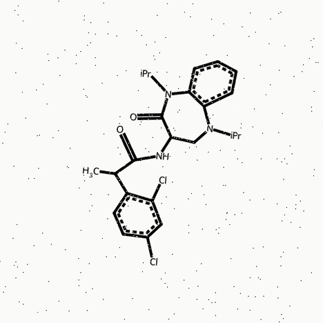 CC(C(=O)NC1CN(C(C)C)c2ccccc2N(C(C)C)C1=O)c1ccc(Cl)cc1Cl